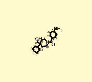 Nc1ccc(C(=O)N2CCC(CO)(c3ccccc3)CC2)cc1